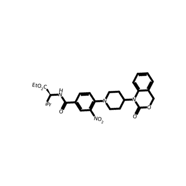 CCOC(=O)[C@@H](NC(=O)c1ccc(N2CCC(N3C(=O)OCc4ccccc43)CC2)c([N+](=O)[O-])c1)C(C)C